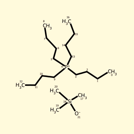 CCCC[P+](CCCC)(CCCC)CCCC.C[Si](C)(C)[O-]